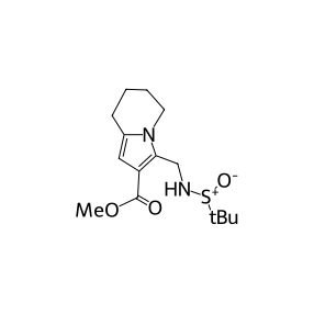 COC(=O)c1cc2n(c1CN[S+]([O-])C(C)(C)C)CCCC2